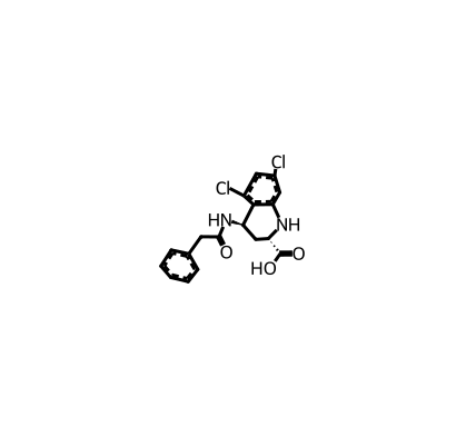 O=C(Cc1ccccc1)N[C@@H]1C[C@@H](C(=O)O)Nc2cc(Cl)cc(Cl)c21